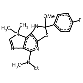 CCN(C)c1nc2c(c3c1N=C[N+]3(C)C)NC(OC)(c1ccc(F)cc1)S2